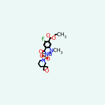 CCOC(=O)c1cc(N(C)C)c(C(=O)NS(=O)(=O)N2CCCC3(COC3)C2)cc1F